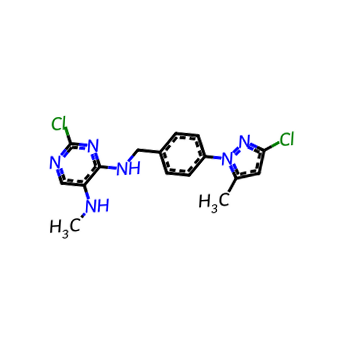 CNc1cnc(Cl)nc1NCc1ccc(-n2nc(Cl)cc2C)cc1